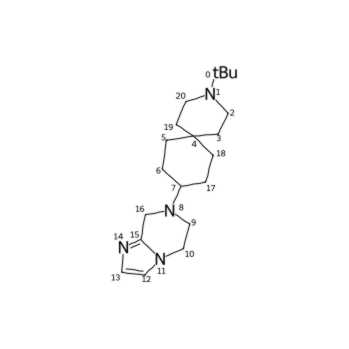 CC(C)(C)N1CCC2(CCC(N3CCn4ccnc4C3)CC2)CC1